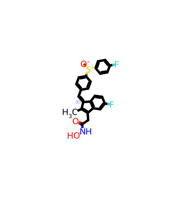 CC1=C(CC(=O)NO)c2cc(F)ccc2/C1=C\c1ccc([S+]([O-])c2ccc(F)cc2)cc1